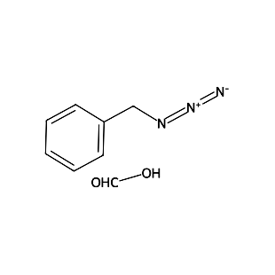 O=CO.[N-]=[N+]=NCc1ccccc1